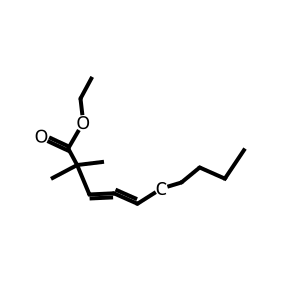 CCCCCC=C=CC(C)(C)C(=O)OCC